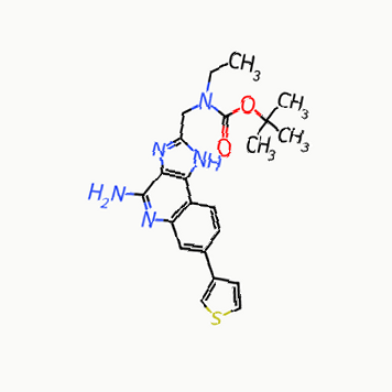 CCN(Cc1nc2c(N)nc3cc(-c4ccsc4)ccc3c2[nH]1)C(=O)OC(C)(C)C